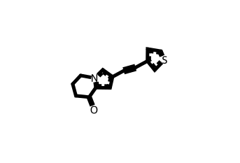 O=C1CCCn2cc(C#Cc3ccsc3)cc21